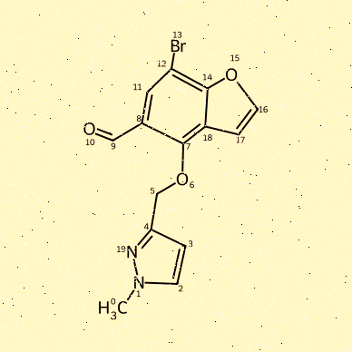 Cn1ccc(COc2c(C=O)cc(Br)c3occc23)n1